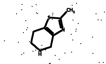 Cc1nc2c(s1)CCNC2